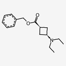 CCN(CC)[C@H]1C[C@@H](C(=O)OCc2ccccc2)C1